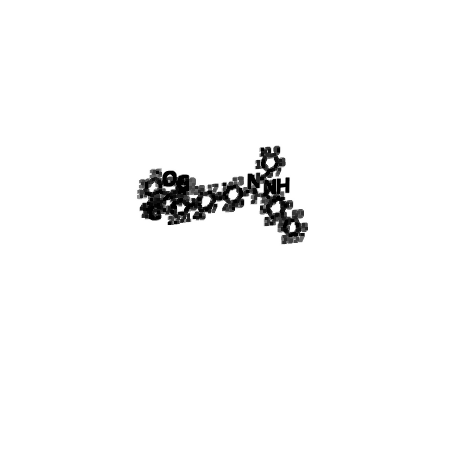 N=C(/C=C(\N=C\c1ccccc1)c1ccc(-c2ccc(-c3ccc4c(c3)C3(c5ccccc5Oc5ccccc53)c3ccccc3-4)cc2)cc1)c1ccc(-c2ccccc2)cc1